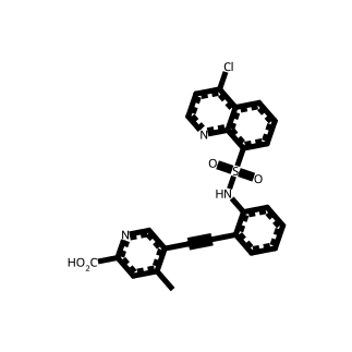 Cc1cc(C(=O)O)ncc1C#Cc1ccccc1NS(=O)(=O)c1cccc2c(Cl)ccnc12